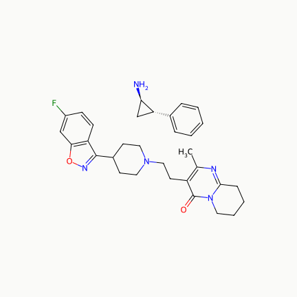 Cc1nc2n(c(=O)c1CCN1CCC(c3noc4cc(F)ccc34)CC1)CCCC2.N[C@@H]1C[C@H]1c1ccccc1